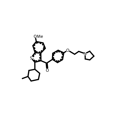 COc1ccc2c(C(=O)c3ccc(OCCN4CCCC4)cc3)c(C3CCCC(C)C3)sc2c1